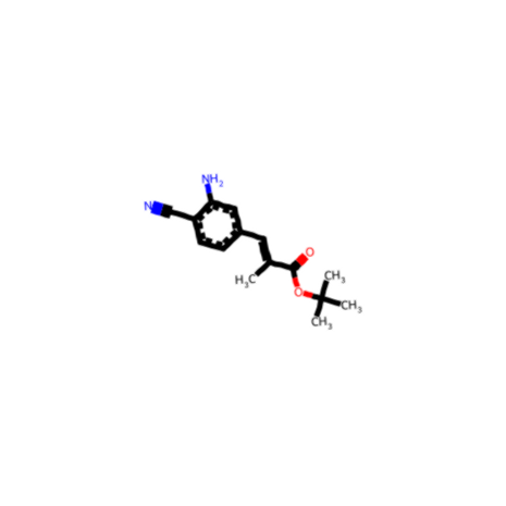 C/C(=C\c1ccc(C#N)c(N)c1)C(=O)OC(C)(C)C